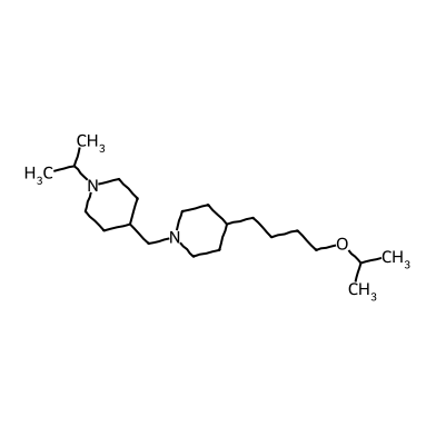 CC(C)OCCCCC1CCN(CC2CCN(C(C)C)CC2)CC1